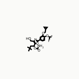 CC(C)(C)CC(OC(N)=O)c1oc(-c2ccc(OC(F)F)c(OCC3CC3)c2)nc1CO